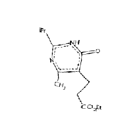 CCOC(=O)CCc1c(C)nc(C(C)C)[nH]c1=O